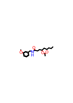 CCCCCC(CCC(=O)NCc1cccc(OC)c1)OC(C)=O